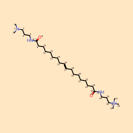 CN(C)CCCNC(=O)CCCCCCC/C=C/CCCCCCCC(=O)NCCC[N+](C)(C)C